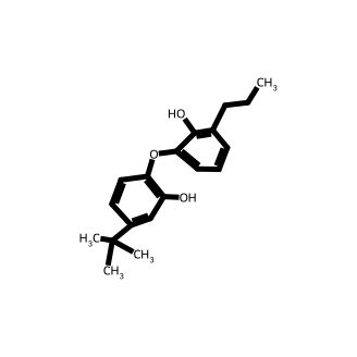 CCCc1cccc(Oc2ccc(C(C)(C)C)cc2O)c1O